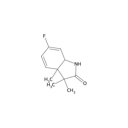 CC1(C)C(=O)NC2C=C(F)C=CC21C